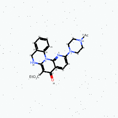 CCOC(=O)c1c2n(c3nc(N4CCN(C(C)=O)CC4)ccc3c1=O)-c1ccccc1CN2